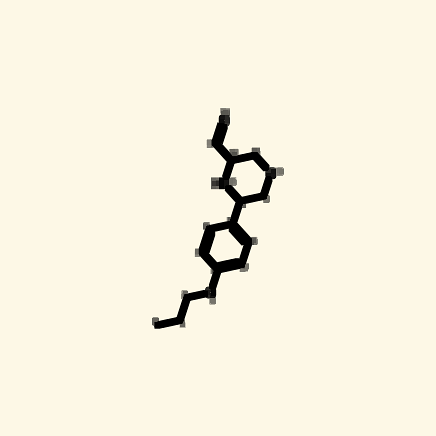 CCCOc1ccc(C2COCC(C=O)N2)cc1